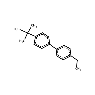 CCc1ccc(-c2ccc(C(C)(C)C)cc2)cc1